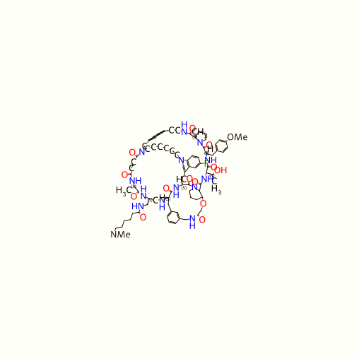 CNCCCCCC(=O)NC[C@@H]1CN[C@H]2Cc3cccc(c3)CNC(=O)COC3CCCN4C(=O)[C@H](Cc5cn(c6ccc(F)cc56)CCCCCCN(Cc5ccc(cc5)CCNC(=O)[C@]5(C)CCCN5C(=O)[C@H](Cc5ccc(OC)cc5)NC(=O)C([C@@H](C)O)NC(=O)C34)C(=O)CCC(=O)N[C@@H](C)C(=O)N1)NC2=O